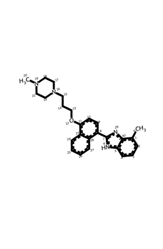 Cc1cccc2[nH]c(-c3ccc(OCCCN4CCN(C)CC4)c4ccccc34)nc12